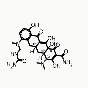 CN(CNC(N)=O)c1ccc(O)c2c1C[C@H]1C[C@H]3[C@H](N(C)C)C(O)=C(C(N)=O)C(=O)[C@@]3(O)C(O)=C1C2=O